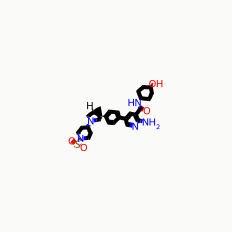 CS(=O)(=O)N1CCC(N2C[C@H]3C[C@@]3(c3ccc(-c4cnc(N)c(C(=O)N[C@H]5CC[C@H](O)CC5)c4)cc3)C2)CC1